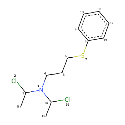 CC(Cl)N(CCCSc1ccccc1)C(C)Cl